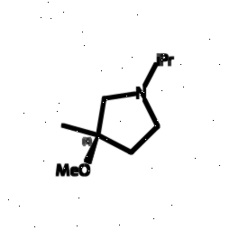 CO[C@]1(C)CCN(C(C)C)C1